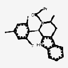 Cc1cc(F)c([C@@H]2c3[nH]c4ccccc4c3CC(C)N2C(=O)C(C)C)c(F)c1